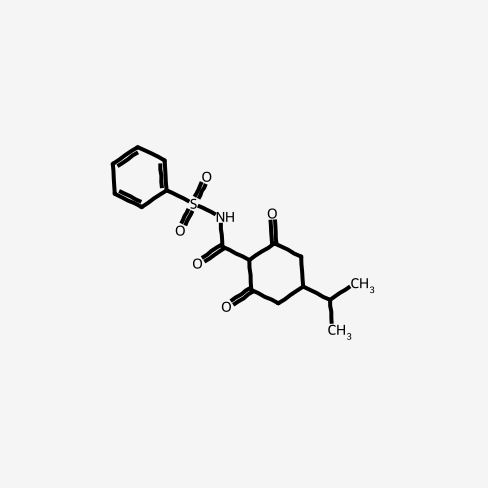 CC(C)C1CC(=O)C(C(=O)NS(=O)(=O)c2ccccc2)C(=O)C1